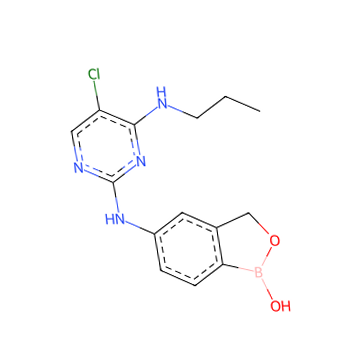 CCCNc1nc(Nc2ccc3c(c2)COB3O)ncc1Cl